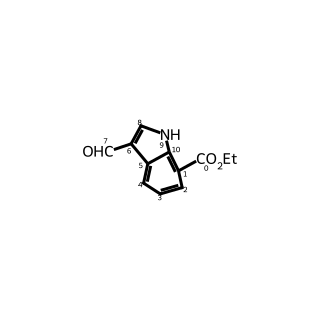 CCOC(=O)c1cccc2c(C=O)c[nH]c12